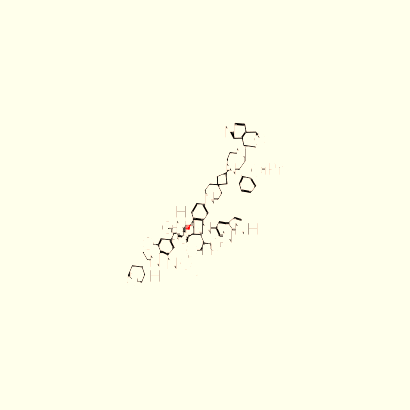 CC(C)Oc1ccccc1[C@@H]1CN([C@H]2COCc3ccncc32)CCN1C1CC2(CCN(c3ccc(C(=O)NS(=O)(=O)c4cc5c(c([N+](=O)[O-])c4)N[C@H](C4CCOCC4)CO5)c(N4c5cc6cc[nH]c6nc5O[C@H]5COCC[C@@H]54)c3)CC2)C1